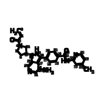 C=CC(=O)N1CC[C@@H](N2NC(c3ccc(C(=O)Nc4cc(C)ccn4)cc3)=C3C2=CN=CN3N)C1